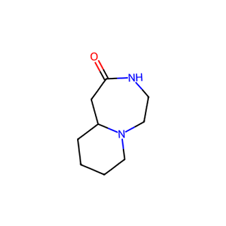 O=C1CC2CCCCN2CCN1